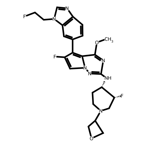 COc1nc(N[C@H]2CCN(C3COC3)C[C@H]2F)nn2cc(F)c(-c3ccc4ncn(CCF)c4c3)c12